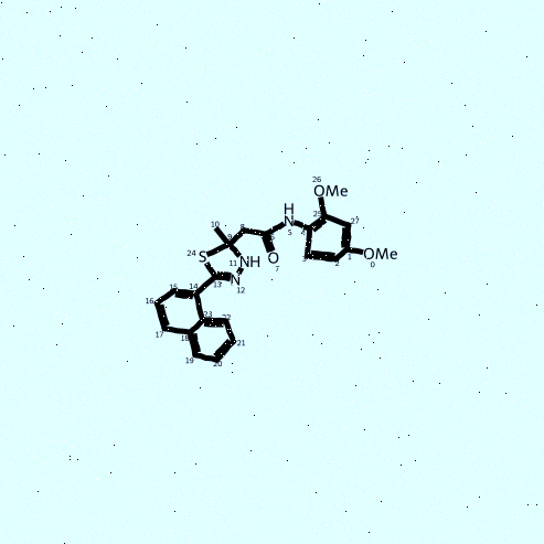 COc1ccc(NC(=O)CC2(C)NN=C(c3cccc4ccccc34)S2)c(OC)c1